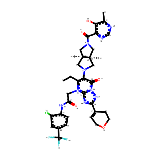 CCc1c(N2C[C@H]3CN(C(=O)c4ncnc(C)c4O)C[C@H]3C2)c(=O)n2nc(C3=CCOCC3)nc2n1CC(=O)Nc1ccc(C(F)(F)F)cc1Cl